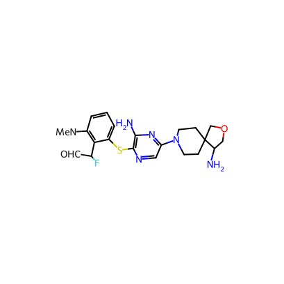 CNc1cccc(Sc2ncc(N3CCC4(CC3)COCC4N)nc2N)c1C(F)C=O